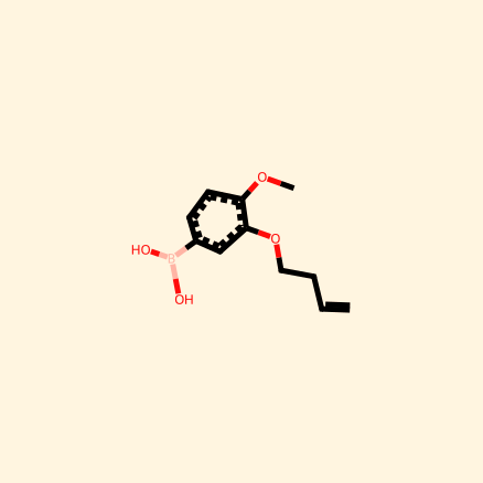 C=CCCOc1cc(B(O)O)ccc1OC